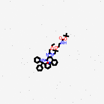 CCOCc1nc2c(NC(c3ccccc3)(c3ccccc3)c3ccccc3)nc3ccccc3c2n1CC(C)(C)OCCNC(=O)OC(C)(C)C